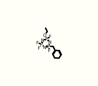 CCOP1(F)=NP(F)(CC2=CCCC=C2)=NP(F)(F)=N1